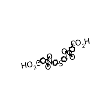 O=C(O)c1ccc2c(c1)C(=O)N(c1ccc(Sc3ccc(N4C(=O)c5ccc(C(=O)O)cc5C4=O)cc3)cc1)C2=O